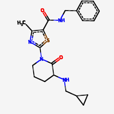 Cc1nc(N2CCCC(NCC3CC3)C2=O)sc1C(=O)NCc1ccccc1